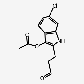 CC(=O)Oc1c(CCC=O)[nH]c2cc(Cl)ccc12